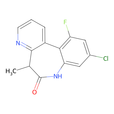 CC1C(=O)Nc2cc(Cl)cc(F)c2-c2cccnc21